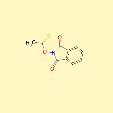 CC(=S)ON1C(=O)c2ccccc2C1=O